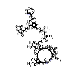 COc1cc2cc(c1Cl)CC(=O)C[C@H](OC(=O)[C@H](C)N(C)C(=O)CCSC(=O)N(C)CCN(C)C(=O)OCc1ccc(NC(=O)OC3/C=C/COCOC3)c(C(=O)NCCN3C(=O)CC(SC)C3=O)c1)[C@]1(C)O[C@H]1[C@H](C)[C@@H]1C[C@@](O)(NC(=O)O1)[C@H](OC)/C=C/C=C(\C)C2